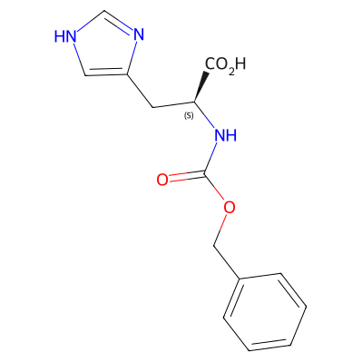 O=C(N[C@@H](Cc1c[nH]cn1)C(=O)O)OCc1ccccc1